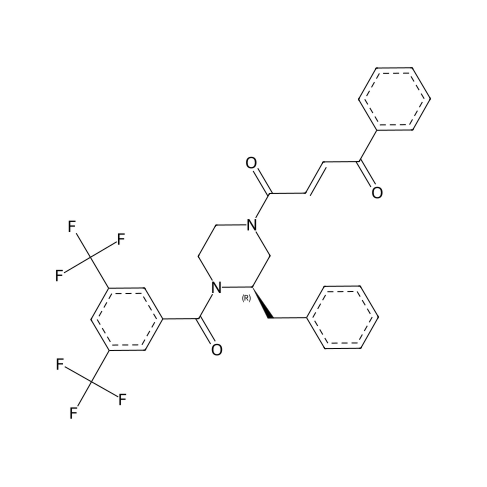 O=C(C=CC(=O)N1CCN(C(=O)c2cc(C(F)(F)F)cc(C(F)(F)F)c2)[C@H](Cc2ccccc2)C1)c1ccccc1